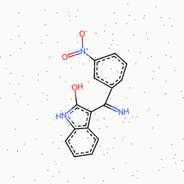 N=C(c1cccc([N+](=O)[O-])c1)c1c(O)[nH]c2ccccc12